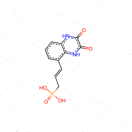 O=c1[nH]c2cccc(C=CCP(=O)(O)O)c2[nH]c1=O